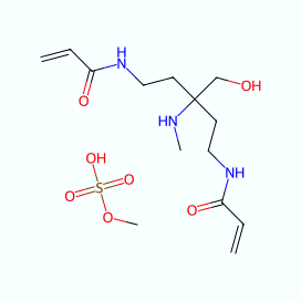 C=CC(=O)NCCC(CO)(CCNC(=O)C=C)NC.COS(=O)(=O)O